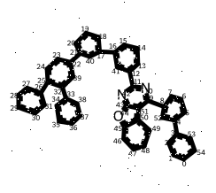 c1ccc(-c2cccc(-c3nc(-c4cccc(-c5cccc(-c6ccc(-c7ccccc7)c(-c7ccccc7)c6)c5)c4)nc4oc5ccccc5c34)c2)cc1